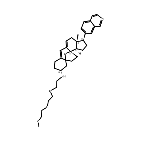 COCCOCCOCCN[C@@H]1CCC2=CC3=CC[C@]4(C)[C@@H](c5ccc6ccncc6c5)CC[C@H]4[C@@]34CCC2(C1)O4